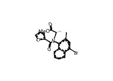 COC(=O)[C@H](C)N(C(=O)c1ccco1)c1c(C)cc(Br)c2ccccc12